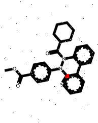 COC(=O)c1ccc(N(C(N)=S)N(C(=O)C2CCCCC2)c2ccccc2-c2ccccc2)cc1